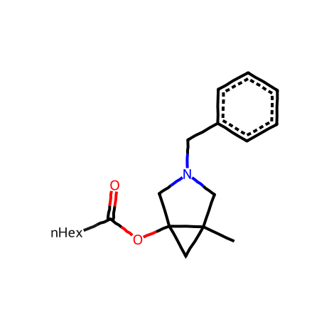 CCCCCCC(=O)OC12CN(Cc3ccccc3)CC1(C)C2